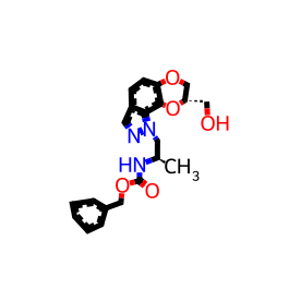 C[C@@H](Cn1ncc2ccc3c(c21)O[C@@H](CO)CO3)NC(=O)OCc1ccccc1